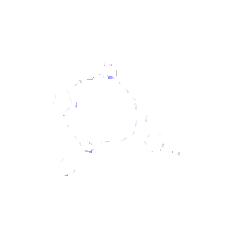 C1=Cc2cc3ccc(cc4nc(cc5ccc(cc1n2)[nH]5)C=C4)[nH]3.[Fe+2].c1cc[cH-]c1.c1cc[cH-]c1